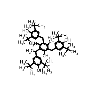 Cc1c(Cc2cc(C(C)(C)C)c(O)c(C(C)(C)C)c2)c(C)c(C(C)c2cc(C(C)(C)C)c(O)c(C(C)(C)C)c2)c(N)c1Cc1cc(C(C)(C)C)c(O)c(C(C)(C)C)c1